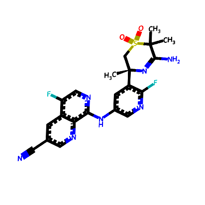 CC1(C)C(N)=N[C@](C)(c2cc(Nc3ncc(F)c4cc(C#N)cnc34)cnc2F)CS1(=O)=O